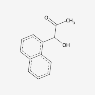 CC(=O)C(O)c1cccc2ccccc12